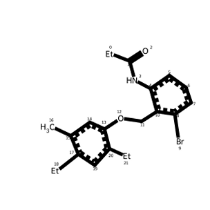 CCC(=O)Nc1cccc(Br)c1COc1cc(C)c(CC)cc1CC